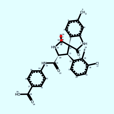 Cc1ccc2c(c1)NC(=O)[C@]21[C@@H](c2cccc(Cl)c2F)[C@H](C(=O)Nc2ccc(C(=O)O)cc2)NC12CCCCC2